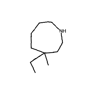 CCC1(C)CCCCNCC1